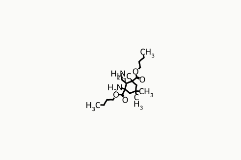 CCCCOC(=O)C1(C)CC(C)(C)CC(N)(C(=O)OCCCC)C1CN